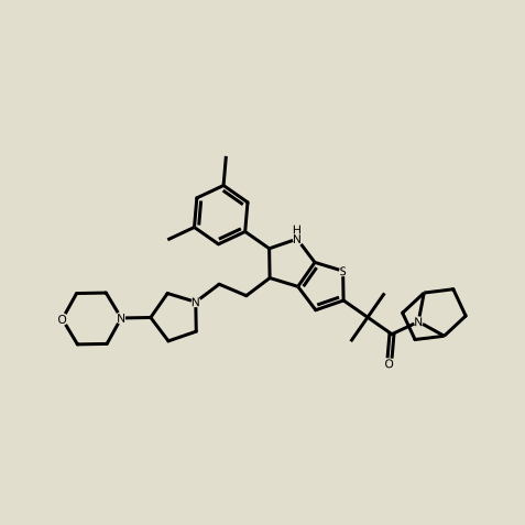 Cc1cc(C)cc(C2Nc3sc(C(C)(C)C(=O)N4C5CCC4CC5)cc3C2CCN2CCC(N3CCOCC3)C2)c1